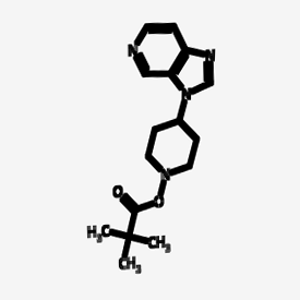 CC(C)(C)C(=O)ON1CCC(n2cnc3ccncc32)CC1